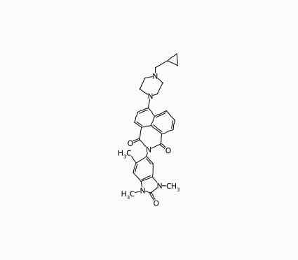 Cc1cc2c(cc1N1C(=O)c3cccc4c(N5CCN(CC6CC6)CC5)ccc(c34)C1=O)n(C)c(=O)n2C